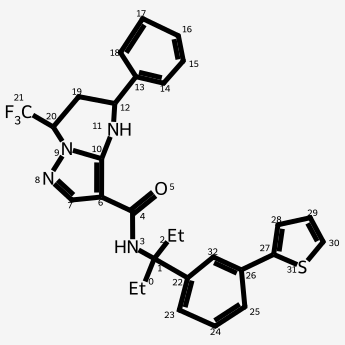 CCC(CC)(NC(=O)c1cnn2c1NC(c1ccccc1)CC2C(F)(F)F)c1cccc(-c2cccs2)c1